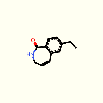 CCc1ccc2c(c1)C=CCNC2=O